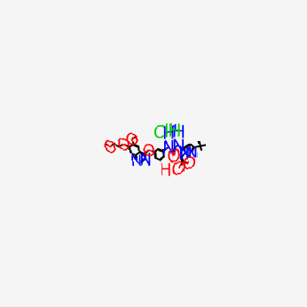 COCCOc1cc2ncnc(Oc3cccc(NC(=O)Nc4cc(C(C)(C)C)nn4CC(=O)O)c3)c2cc1OC.Cl